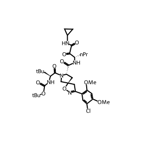 CCC[C@H](NC(=O)[C@@H]1C[C@]2(CC(c3cc(Cl)c(OC)cc3OC)=NO2)CN1C(=O)[C@@H](NC(=O)OC(C)(C)C)C(C)(C)C)C(=O)C(=O)NC1CC1